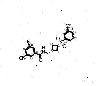 O=C(NC[C@H]1C[C@@H](S(=O)(=O)c2cccc(C(F)(F)F)c2)C1)c1cc(F)cc(Cl)c1